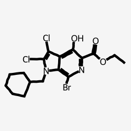 CCOC(=O)c1nc(Br)c2c(c1O)c(Cl)c(Cl)n2CC1CCCCC1